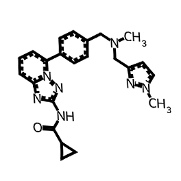 CN(Cc1ccc(-c2cccc3nc(NC(=O)C4CC4)nn23)cc1)Cc1ccn(C)n1